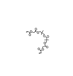 C=CC(=O)OCC(=O)OCC(C)(C)COC(=O)C(C)(C)COC(=O)COC(=O)C=C